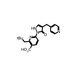 CC(C)(C)Cc1nc(-n2[nH]cc(Cc3ccncc3)c2=O)ccc1C(=O)O